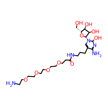 NCCOCCOCCOCCOCCC(=O)NCCCC1=CN([C@@H]2O[C@H](CO)C(O)C2O)C(O)N=C1N